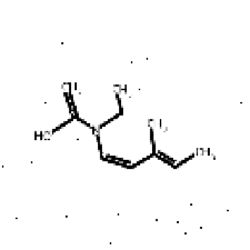 C=C(O)N(/C=C\C(C)=C\C)CC